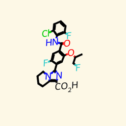 CC(CF)Oc1cc(-c2nc(C(=O)O)c3n2CCCC3)c(F)cc1C(=O)Nc1c(F)cccc1Cl